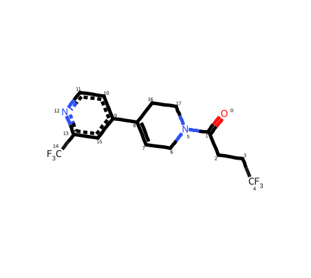 O=C(CCC(F)(F)F)N1CC=C(c2ccnc(C(F)(F)F)c2)CC1